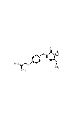 COC(=O)C1(C(=O)NCc2ccc(OCC(C)C)cc2)CC1